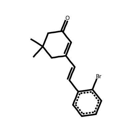 CC1(C)CC(=O)C=C(C=Cc2ccccc2Br)C1